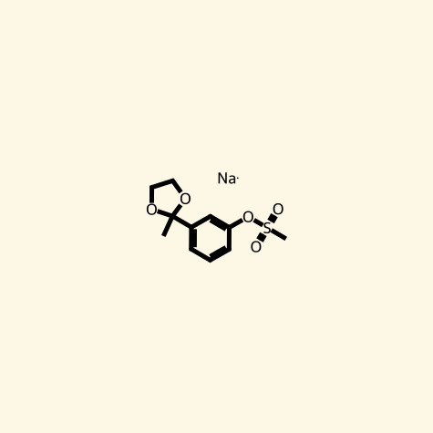 CC1(c2cccc(OS(C)(=O)=O)c2)OCCO1.[Na]